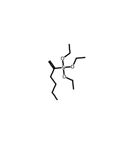 C=C(CCCC)[Si](OCC)(OCC)OCC